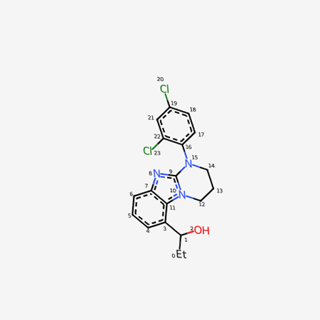 CCC(O)c1cccc2nc3n(c12)CCCN3c1ccc(Cl)cc1Cl